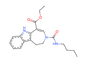 CCCCNC(=O)N1C=C(C(=O)OCC)c2[nH]c3ccccc3c2CC1